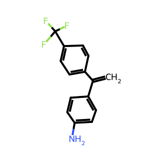 C=C(c1ccc(N)cc1)c1ccc(C(F)(F)F)cc1